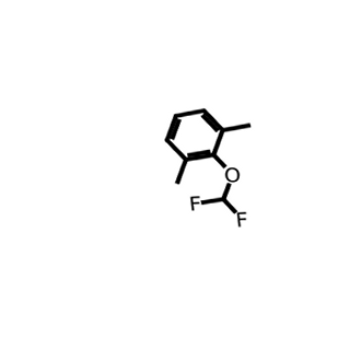 Cc1cccc(C)c1OC(F)F